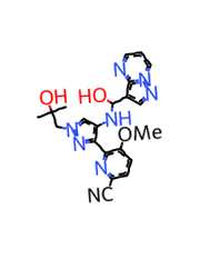 COc1ccc(C#N)nc1-c1nn(CC(C)(C)O)cc1NC(O)c1cnn2cccnc12